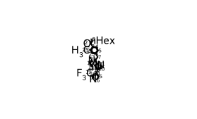 CCCCCCC(=O)c1ccc(Cc2nccn3c(C4=CCN=C4C(F)(F)F)cnc23)cc1C